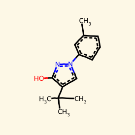 Cc1cccc(-n2cc(C(C)(C)C)c(O)n2)c1